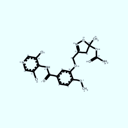 COc1ccc(C(=O)Nc2c(Cl)cncc2Cl)cc1OCC1=NOC(C)(OC(N)=O)C1